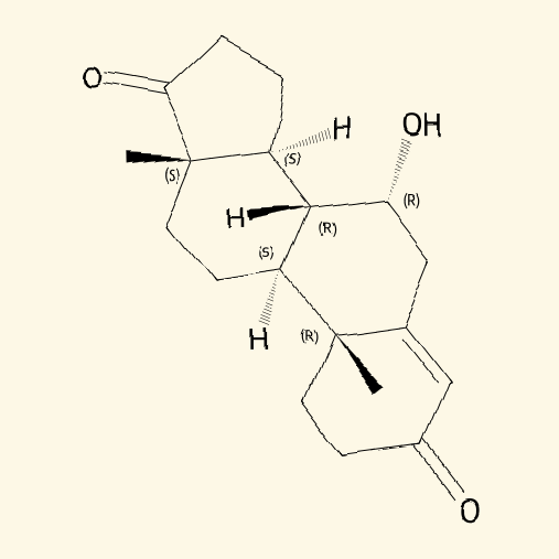 C[C@]12CCC(=O)C=C1C[C@@H](O)[C@@H]1[C@@H]2CC[C@]2(C)C(=O)CC[C@@H]12